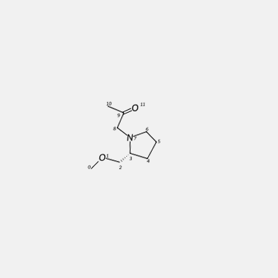 COC[C@H]1CCCN1CC(C)=O